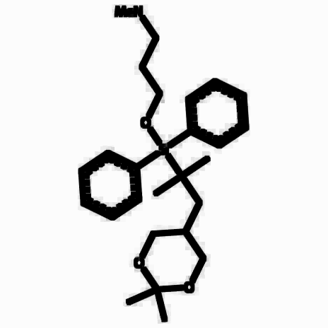 CNCCCO[Si](c1ccccc1)(c1ccccc1)C(C)(C)CC1COC(C)(C)OC1